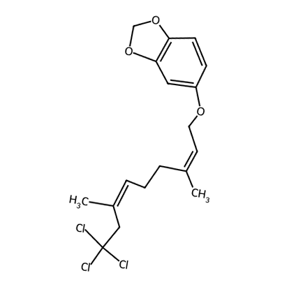 CC(=CCOc1ccc2c(c1)OCO2)CCC=C(C)CC(Cl)(Cl)Cl